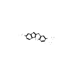 COc1cc2c(cc1OC)N=C1C(=Cc3cc(O)ccc31)C2